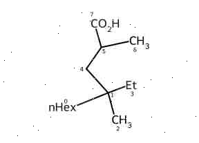 CCCCCCC(C)(CC)CC(C)C(=O)O